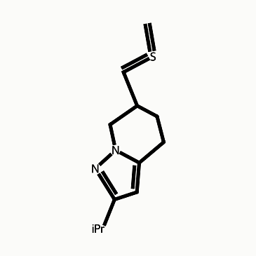 C=S=CC1CCc2cc(C(C)C)nn2C1